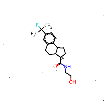 O=C(NCCO)[C@@H]1CCC2c3ccc(C(F)(C(F)(F)F)C(F)(F)F)cc3CCC21